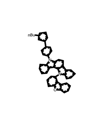 CCCCc1cccc(-c2ccc(-n3c4ccccc4c4c3ccc3c5ccccc5n(-c5cccc6oc7ccccc7c56)c34)cc2)c1